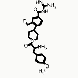 COc1ccc(CC(N)C(=O)N2CCC(c3ccc(C(=O)NC(=N)N)cc3CF)CC2)cc1